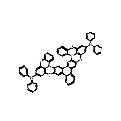 c1ccc(N(c2ccccc2)c2cc3c4c(c2)Sc2ccccc2B4c2cc4c(cc2O3)c2ccccc2c2cc3c(cc24)B2c4ccccc4Sc4cc(N(c5ccccc5)c5ccccc5)cc(c42)O3)cc1